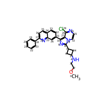 COCCNC1CC(c2nc(-c3ccc4ccc(-c5ccccc5)nc4c3)c3c(Cl)nccn23)C1